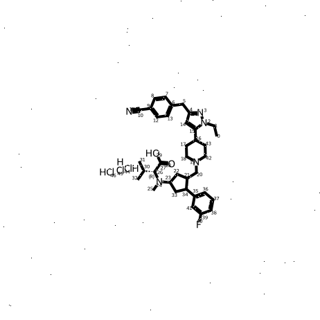 CCn1nc(Cc2ccc(C#N)cc2)cc1C1CCN(CC2CC(N(C)[C@@H](C(=O)O)C(C)C)CC2c2cccc(F)c2)CC1.Cl.Cl.Cl